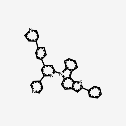 c1ccc(-c2cc3ccc4c(c5ccccc5n4-c4cc(-c5ccc(-c6ccncc6)cc5)cc(-c5ccncc5)n4)c3s2)cc1